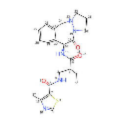 CCC(CNC(=O)c1scnc1C)C(=O)N[C@@H]1C(=O)N2CCCN2Cc2ccccc21